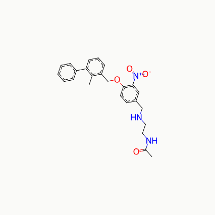 CC(=O)NCCNCc1ccc(OCc2cccc(-c3ccccc3)c2C)c([N+](=O)[O-])c1